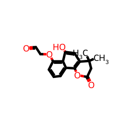 CC1(C)CC(=O)Oc2c1cc(O)c1c(OCC=O)cccc21